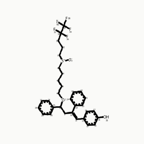 [O-][S+](CCCCCOC(CC(=Cc1ccc(O)cc1)c1ccccc1)c1ccccc1)CCCC(F)(F)C(F)(F)F